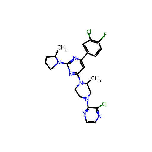 CC1CN(c2nccnc2Cl)CCN1c1cc(-c2ccc(F)c(Cl)c2)nc(N2CCCC2C)n1